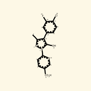 Cc1nn(-c2ccc(C(=O)O)cn2)c(O)c1-c1ccc(Cl)c(F)c1